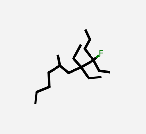 CCCCC(C)CC(CC)(CC)C(F)(CC)CCC